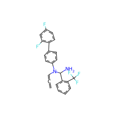 C=C=CN(c1ccc(-c2ccc(F)cc2F)cc1)C(N)c1ccccc1C(F)(F)F